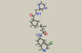 O=C(NCc1cnccn1)c1cccc([C@@H]2C[C@H]2C(=O)Nc2ccc3cncc(Cl)c3c2)c1